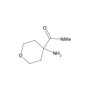 CNC(=O)C1(N)CCOCC1